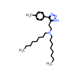 CCCCCCCCN(CCCCCCCC)CCc1[nH]nnc1-c1ccc(C)cc1